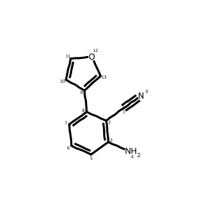 N#Cc1c(N)cccc1-c1ccoc1